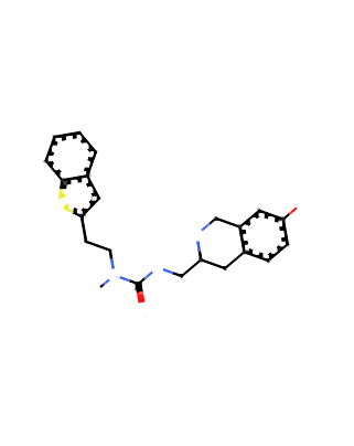 CN(CCc1cc2ccccc2s1)C(=O)NCC1Cc2ccc(O)cc2CN1